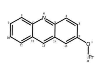 CC(C)Oc1ccc2nc3ccccc3cc2c1